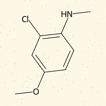 CNc1ccc(OC)cc1Cl